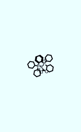 O=[C](Cl)[Ir]([PH](C1CCCCC1)(C1CCCCC1)C1CCCCC1)[PH](C1CCCCC1)(C1CCCCC1)C1CCCCC1